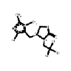 [2H]c1nc(C)n(C)c1C[C@H]1COC(=O)[C@H]1CC([2H])([2H])[2H]